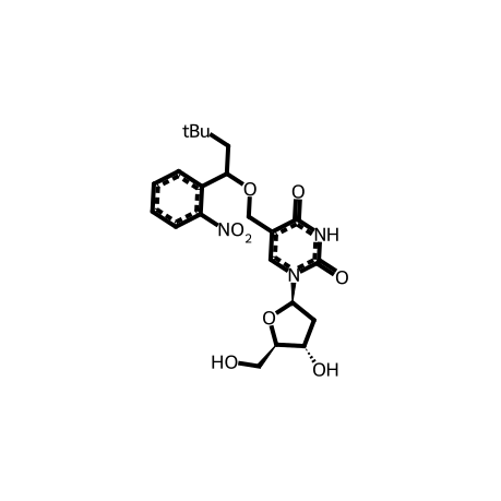 CC(C)(C)CC(OCc1cn([C@H]2C[C@H](O)[C@@H](CO)O2)c(=O)[nH]c1=O)c1ccccc1[N+](=O)[O-]